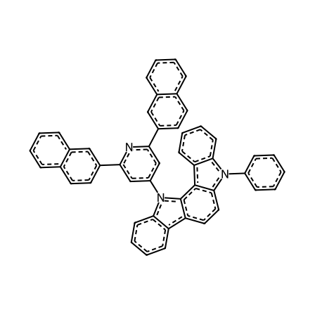 c1ccc(-n2c3ccccc3c3c2ccc2c4ccccc4n(-c4cc(-c5ccc6ccccc6c5)nc(-c5ccc6ccccc6c5)c4)c23)cc1